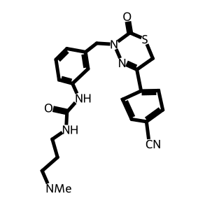 CNCCCNC(=O)Nc1cccc(CN2N=C(c3ccc(C#N)cc3)CSC2=O)c1